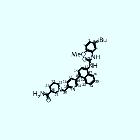 COc1ccc(C(C)(C)C)cc1NC(=O)Nc1ccc(-c2ccc(CN3CCCC(C(N)=O)C3)nc2)c2ccccc12